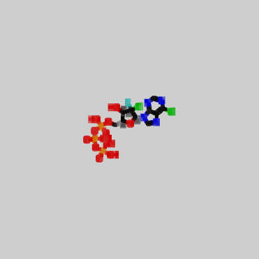 O=P(O)(O)OP(=O)(O)OP(=O)(O)OC[C@H]1O[C@@H](n2cnc3c(Cl)ncnc32)[C@@](F)(Cl)[C@@H]1O